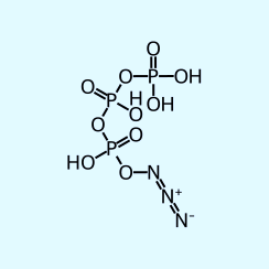 [N-]=[N+]=NOP(=O)(O)OP(=O)(O)OP(=O)(O)O